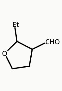 CCC1OCCC1C=O